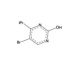 CC(C)c1nc(O)ncc1Br